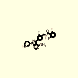 Nc1ncnc2c1c(-c1ccc(CNC(=O)c3c(F)cccc3F)c(F)c1)nn2[C@@H]1CCCNC1